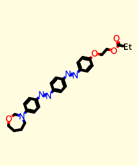 CCC(=O)OCCOc1ccc(N=Nc2ccc(N=Nc3ccc(N4CCCCOC4)cc3)cc2)cc1